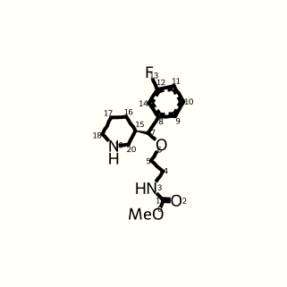 COC(=O)NCCOC(c1cccc(F)c1)[C@@H]1CCCNC1